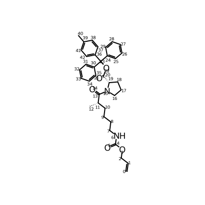 C=CCOC(=O)NCCCC[C@H](C)C(=O)N1CCC[C@H]1C(=O)OC(c1ccccc1)(c1ccccc1)c1ccc(C)cc1